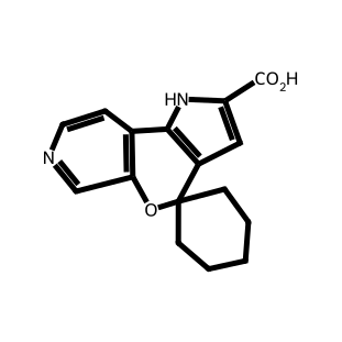 O=C(O)c1cc2c([nH]1)-c1ccncc1OC21CCCCC1